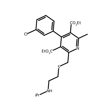 CCOC(=O)c1c(C)nc(CSCCNC(C)C)c(C(=O)OCC)c1-c1cccc(Cl)c1